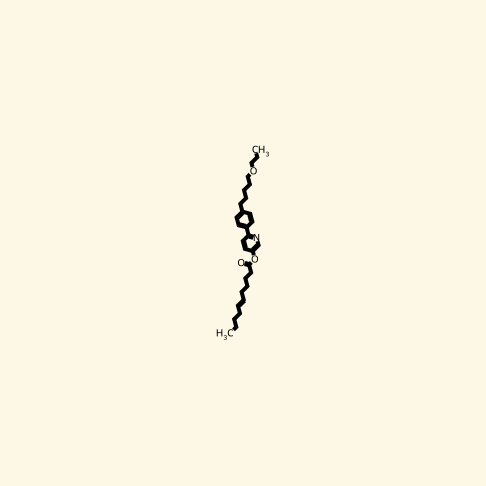 CCCC/C=C/CCCCC(=O)Oc1ccc(-c2ccc(CCCCCOCCC)cc2)nc1